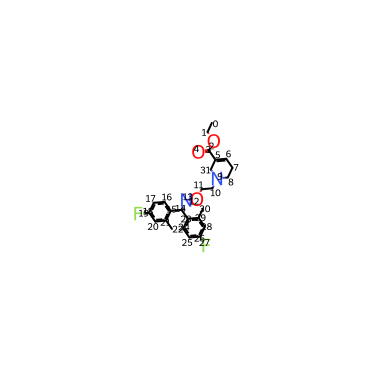 CCOC(=O)C1=CCCN(CCON=C(c2ccc(F)cc2C)c2ccc(F)cc2C)C1